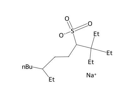 CCCCC(CC)CCC(C(CC)(CC)CC)S(=O)(=O)[O-].[Na+]